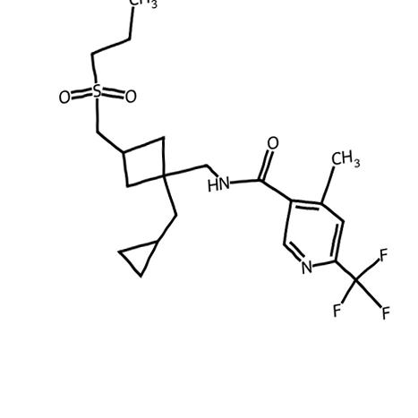 CCCS(=O)(=O)CC1CC(CNC(=O)c2cnc(C(F)(F)F)cc2C)(CC2CC2)C1